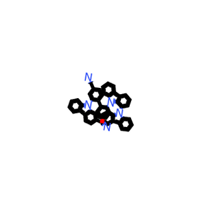 N#Cc1ccc(-c2ccccc2-n2c3ccccc3c3cccc(-n4c5ccccc5c5ccccc54)c32)c(-n2c3ccccc3c3ccc(C#N)cc32)c1